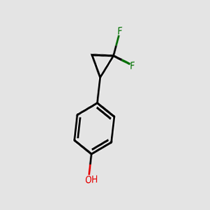 Oc1ccc(C2CC2(F)F)cc1